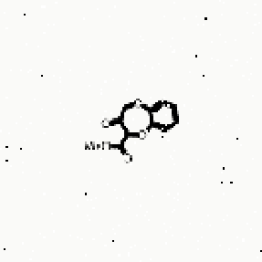 COC(=O)C1Oc2ccccc2OCC1=O